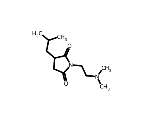 CC(C)CC1CC(=O)N(CCN(C)C)C1=O